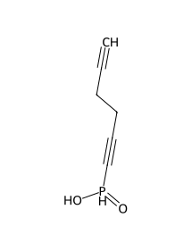 C#CCCC#C[PH](=O)O